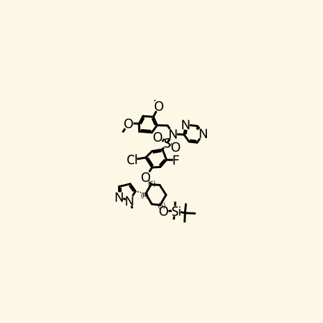 COc1ccc(CN(c2ccncn2)S(=O)(=O)c2cc(Cl)c(O[C@H]3CC[C@H](O[Si](C)(C)C(C)(C)C)C[C@@H]3c3ccnn3C)cc2F)c(OC)c1